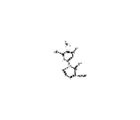 COc1cccn(-c2cc(F)c(N)c(F)c2)c1=O